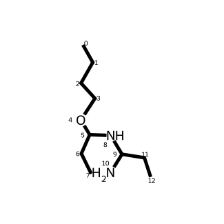 CCCCOC(CC)NC(N)CC